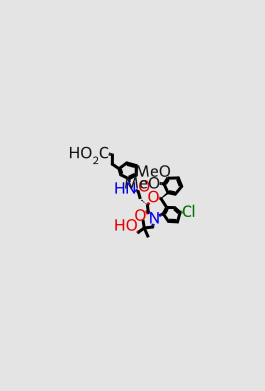 COc1cccc([C@@H]2O[C@@H](CC(=O)Nc3cccc(CCC(=O)O)c3)C(=O)N(CC(C)(C)CO)c3ccc(Cl)cc32)c1OC